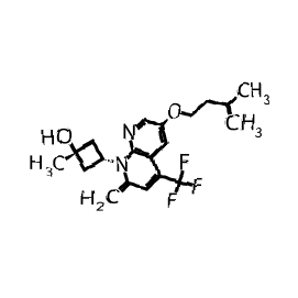 C=C1C=C(C(F)(F)F)c2cc(OCCC(C)C)cnc2N1[C@H]1C[C@@](C)(O)C1